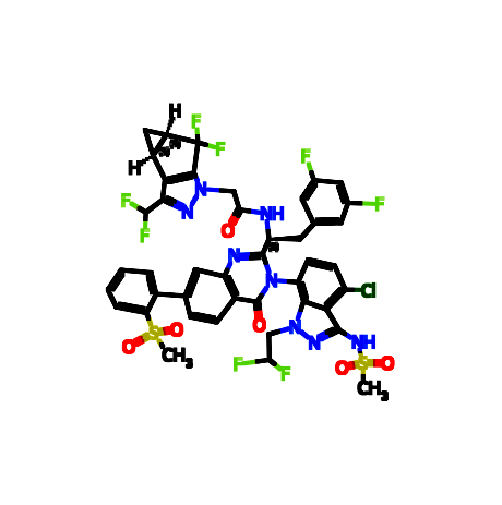 CS(=O)(=O)Nc1nn(CC(F)F)c2c(-n3c([C@H](Cc4cc(F)cc(F)c4)NC(=O)Cn4nc(C(F)F)c5c4C(F)(F)[C@@H]4C[C@H]54)nc4cc(-c5ccccc5S(C)(=O)=O)ccc4c3=O)ccc(Cl)c12